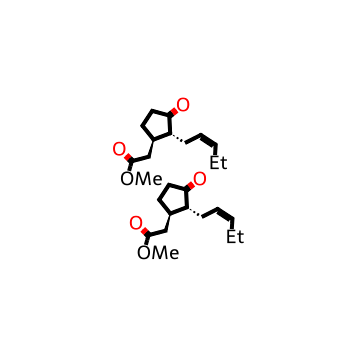 CC/C=C\C[C@H]1C(=O)CC[C@@H]1CC(=O)OC.CC/C=C\C[C@H]1C(=O)CC[C@@H]1CC(=O)OC